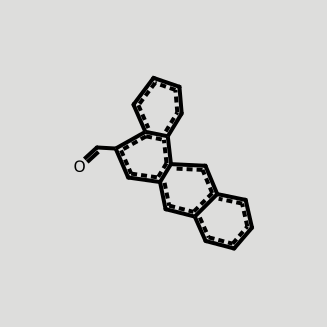 O=Cc1cc2cc3ccccc3cc2c2ccccc12